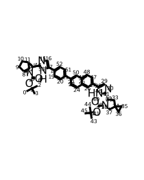 CC(C)(C)OC(=O)N1C2CCC(C2)C1c1ncc(-c2ccc(-c3ccc4cc(-c5cnc([C@@H]6CC7(CC7)CN6C(=O)OC(C)(C)C)[nH]5)ccc4c3)cc2)[nH]1